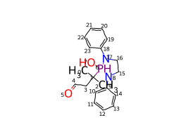 CC(C)(CC=O)[PH]1(O)N(c2ccccc2)CCN1c1ccccc1